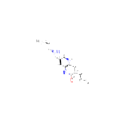 C=CCNCc1cnc2cc(CC)c(=O)[nH]c2c1